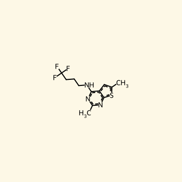 Cc1nc(NCCCC(F)(F)F)c2cc(C)sc2n1